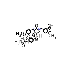 COc1ccc(/C=C2\CC(NS(=O)(=O)c3ccc(OCC(N)=O)cc3)C/C(=C\c3ccc(OC)c(OC)c3)C2=O)cc1OC